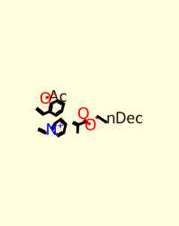 C=C(C)C(=O)OCCCCCCCCCCCC.C=C[n+]1ccccc1.C=Cc1ccccc1.CC(=O)[O-]